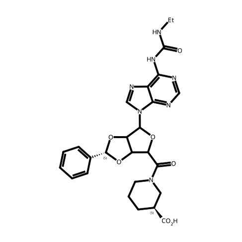 CCNC(=O)Nc1ncnc2c1ncn2C1OC(C(=O)N2CCC[C@H](C(=O)O)C2)C2O[C@H](c3ccccc3)OC21